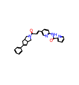 O=C(Nc1ccc(/C=C/C(=O)N2CC3C=C(c4ccccc4)CC3C2)cn1)c1ccccn1